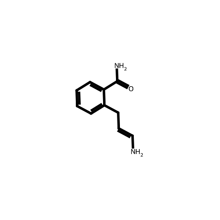 NC=CCc1ccccc1C(N)=O